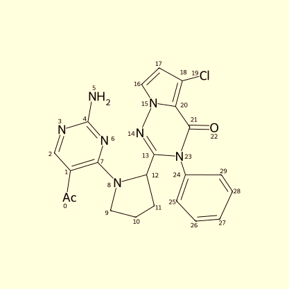 CC(=O)c1cnc(N)nc1N1CCCC1c1nn2ccc(Cl)c2c(=O)n1-c1ccccc1